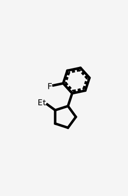 CCC1CCCC1c1ccccc1F